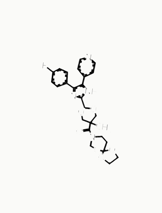 CC1(C(=O)N2CCC3(CC2)OCCO3)COC(c2nc(-c3ccc(F)cc3)c(-c3ccncc3)[nH]2)OC1